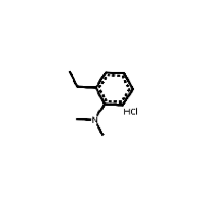 CCc1ccccc1N(C)C.Cl